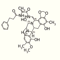 COc1c(C)cc2c(c1O)[C@H]1C3Cc4c(O)c(C)c5c(c4[C@H](CNC(=O)[C@H](C)NC(=O)CCc4ccccc4)N3[C@@H](O)C(C2)N1C)OCO5